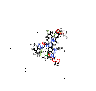 CC(=O)C(=O)OCN(c1nn(CC(F)(F)F)c2c(-c3ccc(C#CC(C)(C)S(C)(=O)=O)nc3[C@H](Cc3cc(F)cc(F)c3)NC(=O)Cn3nc(C(F)(F)F)c4c3C(F)(F)[C@@H]3C[C@H]43)ccc(Cl)c12)S(C)(=O)=O